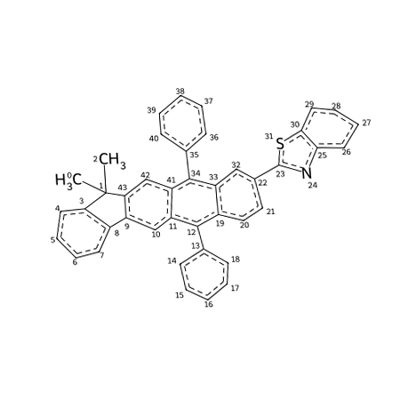 CC1(C)c2ccccc2-c2cc3c(-c4ccccc4)c4ccc(-c5nc6ccccc6s5)cc4c(-c4ccccc4)c3cc21